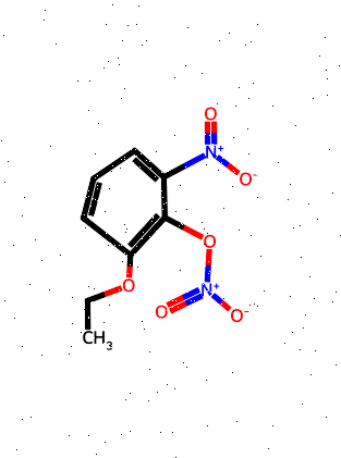 CCOc1cccc([N+](=O)[O-])c1O[N+](=O)[O-]